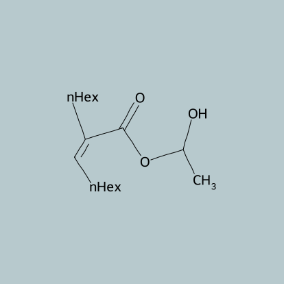 CCCCCCC=C(CCCCCC)C(=O)OC(C)O